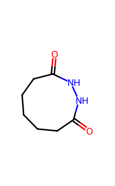 O=C1CCCCCC(=O)NN1